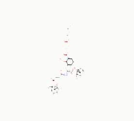 CCCCOC(=O)OCOC(=O)c1cccc(CC(NC(=O)CCC2(C)OC3CC4CC(C4(C)C)C3(C)O2)B2OC3CC4CC(C4(C)C)C3(C)O2)c1OC